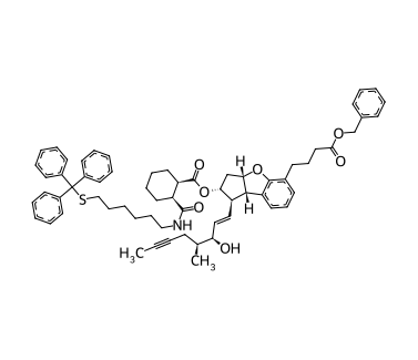 CC#CC[C@H](C)[C@H](O)/C=C/[C@@H]1[C@H]2c3cccc(CCCC(=O)OCc4ccccc4)c3O[C@H]2C[C@H]1OC(=O)[C@@H]1CCCC[C@@H]1C(=O)NCCCCCCSC(c1ccccc1)(c1ccccc1)c1ccccc1